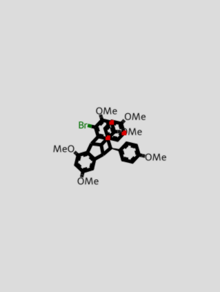 COc1ccc(C2C3c4c(OC)cc(OC)cc4C2[C@H](c2ccc(OC)cc2)c2c(OC)cc(OC)c(Br)c23)cc1